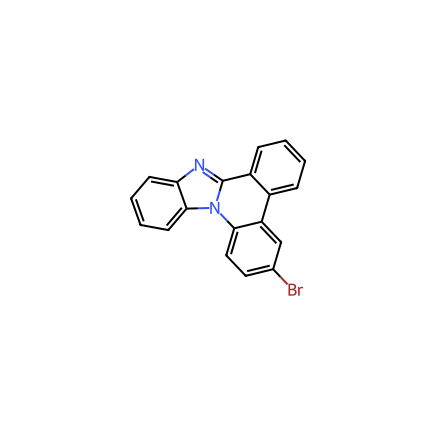 Brc1ccc2c(c1)c1ccccc1c1nc3ccccc3n21